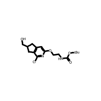 CC(C)(C)OC(=O)NCCOc1cc2c(c(Cl)n1)CC(CO)C2